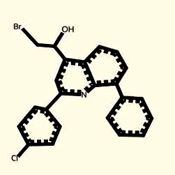 OC(CBr)c1cc(-c2ccc(Cl)cc2)nc2c(-c3ccccc3)cccc12